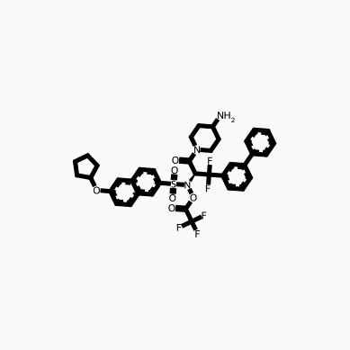 NC1CCN(C(=O)[C@H](N(OC(=O)C(F)(F)F)S(=O)(=O)c2ccc3cc(OC4CCCC4)ccc3c2)C(F)(F)c2cccc(-c3ccccc3)c2)CC1